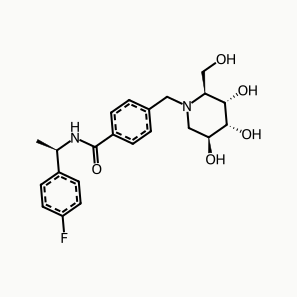 C[C@@H](NC(=O)c1ccc(CN2C[C@H](O)[C@@H](O)[C@@H](O)[C@@H]2CO)cc1)c1ccc(F)cc1